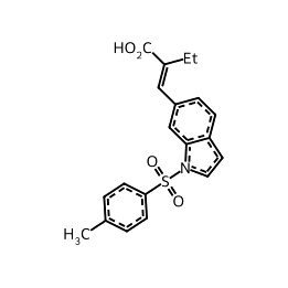 CC/C(=C\c1ccc2ccn(S(=O)(=O)c3ccc(C)cc3)c2c1)C(=O)O